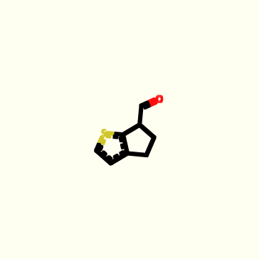 O=CC1CCc2ccsc21